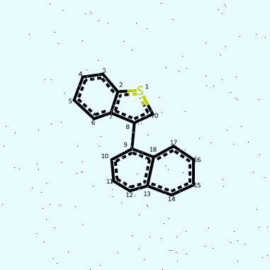 [c]1sc2ccccc2c1-c1cccc2ccccc12